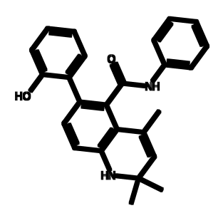 CC1=CC(C)(C)Nc2ccc(-c3ccccc3O)c(C(=O)Nc3ccccc3)c21